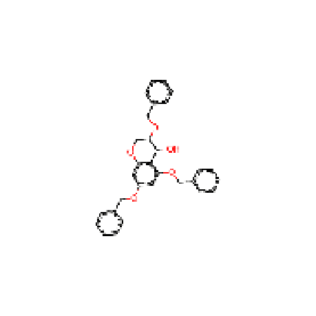 OC1c2c(OCc3ccccc3)cc(OCc3ccccc3)cc2OCC1OCc1ccccc1